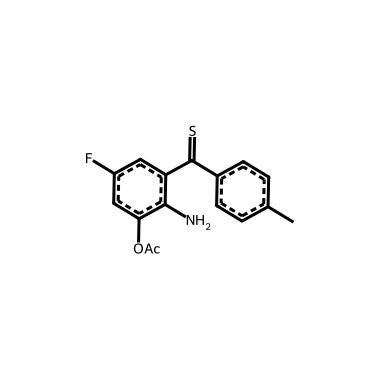 CC(=O)Oc1cc(F)cc(C(=S)c2ccc(C)cc2)c1N